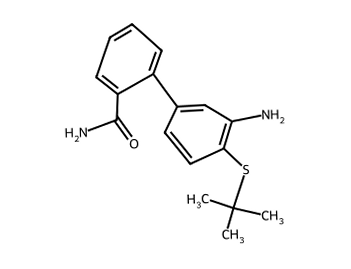 CC(C)(C)Sc1ccc(-c2ccccc2C(N)=O)cc1N